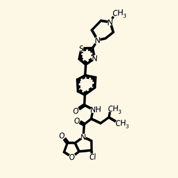 CC(C)CC(NC(=O)c1ccc(-c2csc(N3CCN(C)CC3)n2)cc1)C(=O)N1CC(Cl)C2OCC(=O)C21